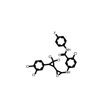 O=C(Nc1ccc(F)cc1)c1cc(NC2OC2C2C(c3ccc(Cl)c(Cl)c3)C2(Cl)Cl)ccc1Cl